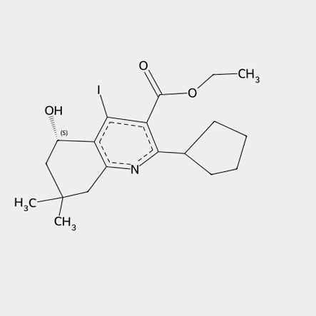 CCOC(=O)c1c(C2CCCC2)nc2c(c1I)[C@@H](O)CC(C)(C)C2